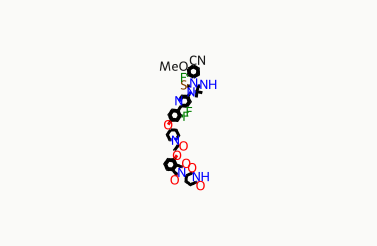 COc1c(C#N)ccc(N2C(=N)C(C)(C)N(c3cnc(-c4ccc(OC5CCN(C(=O)COc6cccc7c6C(=O)N(C6CCC(=O)NC6=O)C7=O)CC5)cc4F)c(F)c3)C2=S)c1F